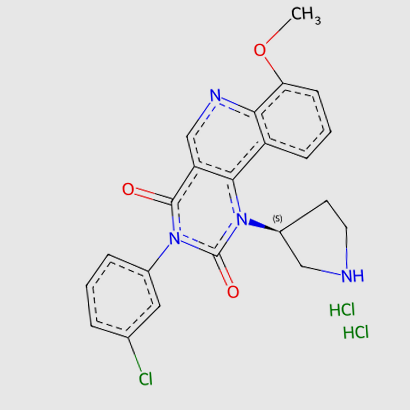 COc1cccc2c1ncc1c(=O)n(-c3cccc(Cl)c3)c(=O)n([C@H]3CCNC3)c12.Cl.Cl